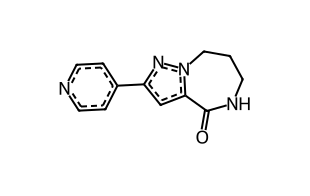 O=C1NCCCn2nc(-c3ccncc3)cc21